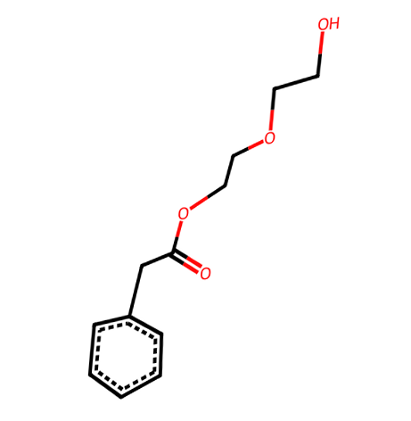 O=C(Cc1ccccc1)OCCOCCO